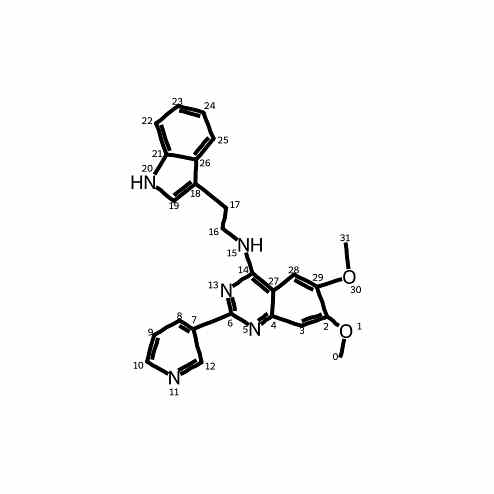 COc1cc2nc(-c3cccnc3)nc(NCCc3c[nH]c4ccccc34)c2cc1OC